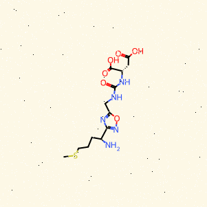 CSCCC[C@H](N)c1noc(CNC(=O)N[C@@H](CC(=O)O)C(=O)O)n1